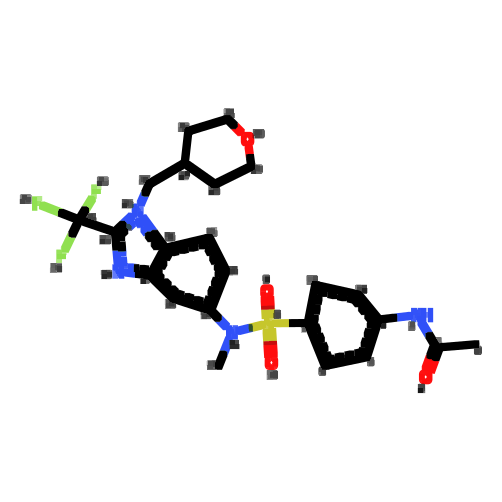 CC(=O)Nc1ccc(S(=O)(=O)N(C)c2ccc3c(c2)nc(C(F)(F)F)n3CC2CCOCC2)cc1